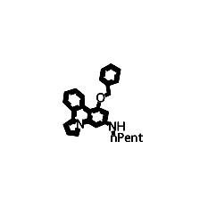 CCCCCNc1cc(OCc2ccccc2)c2c3ccccc3c3cccn3c2c1